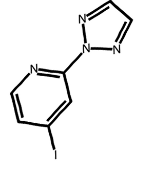 Ic1ccnc(-n2nccn2)c1